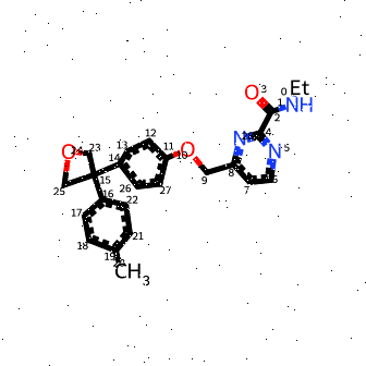 CCNC(=O)c1nccc(COc2ccc(C3(c4ccc(C)cc4)COC3)cc2)n1